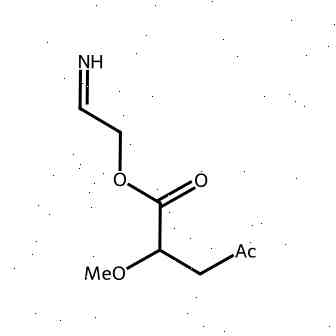 COC(CC(C)=O)C(=O)OCC=N